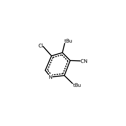 CC(C)(C)c1ncc(Cl)c(C(C)(C)C)c1C#N